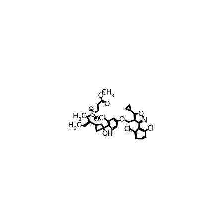 C/C=C(/C1CC(O)(c2ccc(OCc3c(-c4c(Cl)cccc4Cl)noc3C3CC3)cc2Cl)C1)[C@H](C)S(=O)(=O)CCC(=O)OC